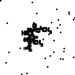 CCOC(=O)c1n[nH]c2c1C[C@]1(C)[C@H]2[C@@H]1C1CC1